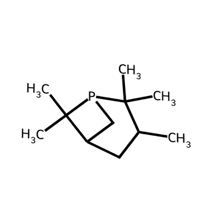 CC1CC2CP(C1(C)C)C2(C)C